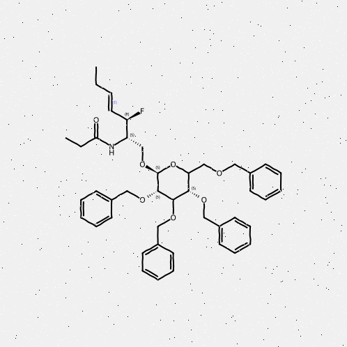 CC/C=C/[C@@H](F)[C@H](CO[C@H]1OC(COCc2ccccc2)[C@H](OCc2ccccc2)C(OCc2ccccc2)[C@@H]1OCc1ccccc1)NC(=O)CC